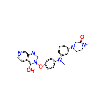 CN1CCN(c2cccc(N(C)c3ccc(ON4CN=c5cnccc5=C4O)cc3)c2)CC1=O